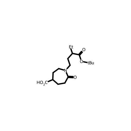 CCC(CCN1CCC(C(=O)O)CCC1=O)C(=O)OC(C)(C)C